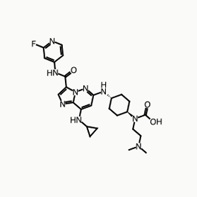 CN(C)CCN(C(=O)O)[C@H]1CC[C@H](Nc2cc(NC3CC3)c3ncc(C(=O)Nc4ccnc(F)c4)n3n2)CC1